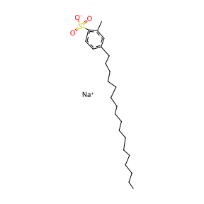 CCCCCCCCCCCCCCCCCc1ccc(S(=O)(=O)[O-])c(C)c1.[Na+]